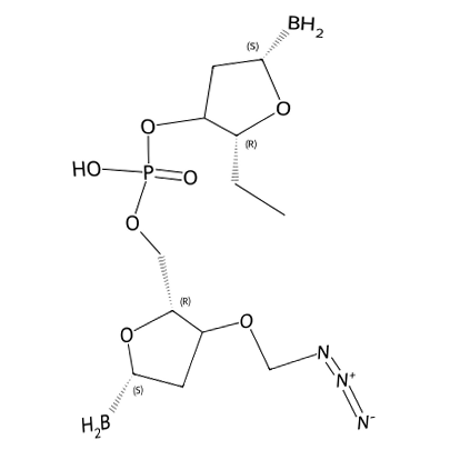 B[C@H]1CC(OCN=[N+]=[N-])[C@@H](COP(=O)(O)OC2C[C@H](B)O[C@@H]2CC)O1